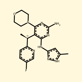 Cc1cc(Nc2nc(N)nc(N3CCOCC3)c2[C@H](C)c2ccc(F)cn2)n[nH]1